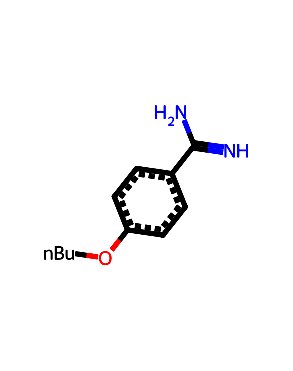 CCCCOc1ccc(C(=N)N)cc1